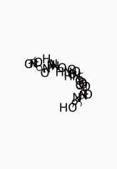 CCc1c2c(nc3ccc(O)cc13)-c1cc3c(c(=O)n1C2)COC(=O)C3(CC)OC(=O)OCC(NC(=O)OC(=O)NCCOCCn1cc(CNC(=O)C2CCC(CN3C(=O)CC(C)C3=O)CC2)nn1)C(C)C